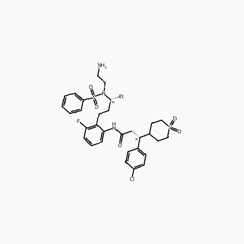 CC[C@H](CCc1c(F)cccc1NC(=O)C[C@@H](c1ccc(Cl)cc1)C1CCS(=O)(=O)CC1)N(CCN)S(=O)(=O)c1ccccc1